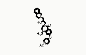 CC(=O)N1CCC(Oc2ccc3c(c2)N(C)CCN(C[C@H](O)CN2CCc4ccccc4C2)C3=O)CC1